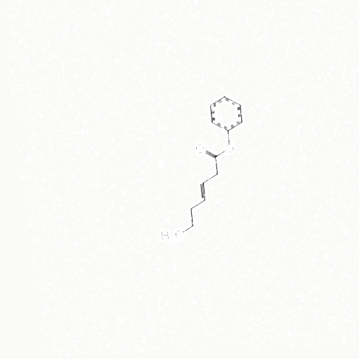 CCCC=CCC(=O)Oc1ccccc1